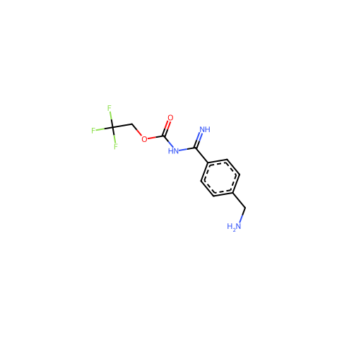 N=C(NC(=O)OCC(F)(F)F)c1ccc(CN)cc1